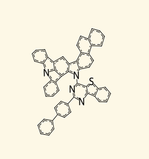 c1ccc(-c2ccc(-c3nc(-n4c5ccc6c7ccccc7ccc6c5c5cc6c7ccccc7n7c8ccccc8c(c54)c67)c4sc5ccccc5c4n3)cc2)cc1